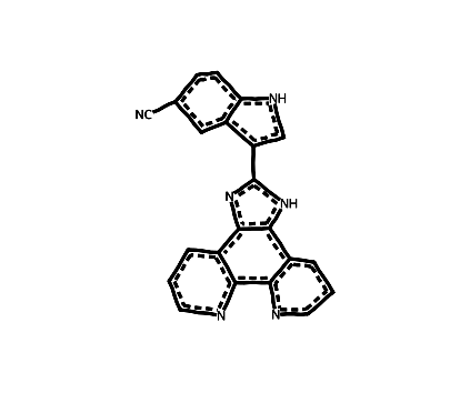 N#Cc1ccc2[nH]cc(-c3nc4c5cccnc5c5ncccc5c4[nH]3)c2c1